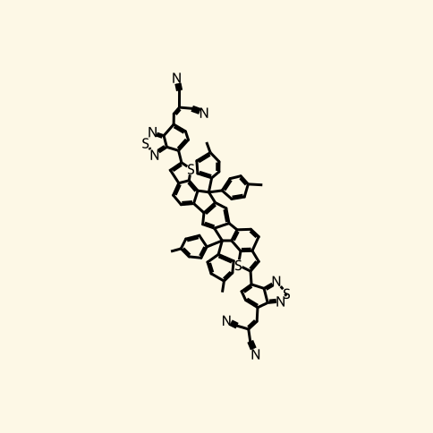 Cc1ccc(C2(c3ccc(C)cc3)c3cc4c(cc3-c3ccc5cc(-c6ccc(C=C(C#N)C#N)c7nsnc67)sc5c32)C(c2ccc(C)cc2)(c2ccc(C)cc2)c2c-4ccc3cc(-c4ccc(C=C(C#N)C#N)c5nsnc45)sc23)cc1